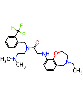 CCN1CCOc2c(cccc2NCC(=O)N(CCN(C)C)Cc2ccccc2C(F)(F)F)C1